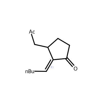 CCCC/C=C1/C(=O)CCC1CC(C)=O